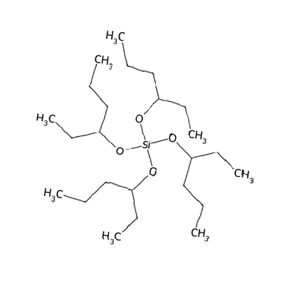 CCCC(CC)O[Si](OC(CC)CCC)(OC(CC)CCC)OC(CC)CCC